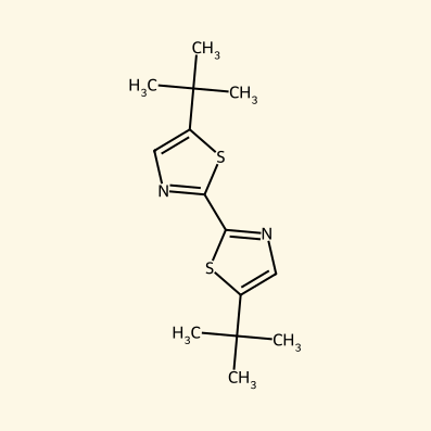 CC(C)(C)c1cnc(-c2ncc(C(C)(C)C)s2)s1